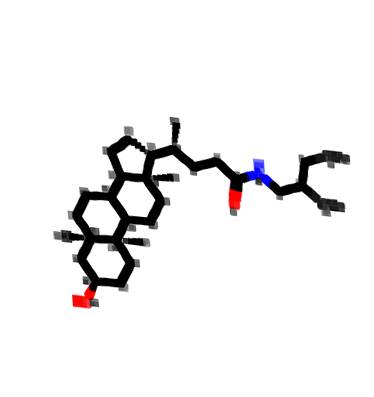 COCC(CNC(=O)CC[C@@H](C)[C@H]1CCC2C3CC[C@@H]4C[C@H](O)CC[C@]4(C)C3CC[C@@]21C)OC